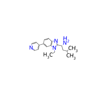 CCn1c([C@H](N)CC(C)C)nc2ccc(-c3ccncc3)cc21